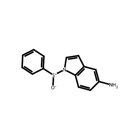 Nc1ccc2c(ccn2[S+]([O-])c2ccccc2)c1